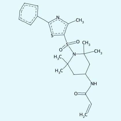 C=CC(=O)NC1CC(C)(C)N(S(=O)(=O)c2sc(-c3ccccc3)nc2C)C(C)(C)C1